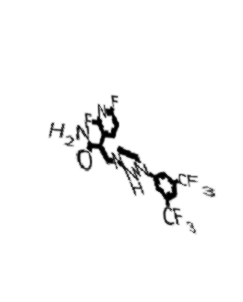 NC(=O)C(=CN1C=CN(c2cc(C(F)(F)F)cc(C(F)(F)F)c2)N1)c1ccc(F)nc1F